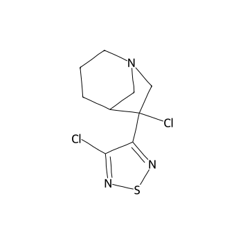 Clc1nsnc1C1(Cl)CN2CCCC1C2